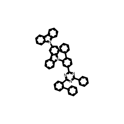 c1ccc(-c2nc(-c3ccc(-c4ccccc4)c(-n4c5ccccc5c5cc(-n6c7ccccc7c7ccccc76)ccc54)c3)nc(-c3ccccc3-c3ccccc3)n2)cc1